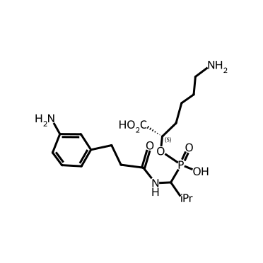 CC(C)C(NC(=O)CCc1cccc(N)c1)P(=O)(O)O[C@@H](CCCCN)C(=O)O